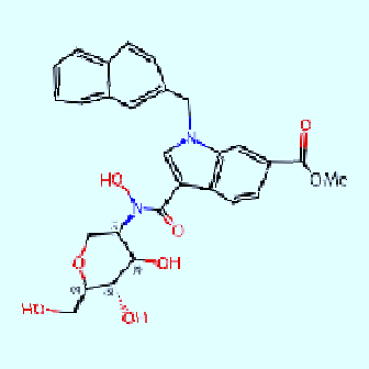 COC(=O)c1ccc2c(C(=O)N(O)[C@@H]3CO[C@H](CO)[C@@H](O)[C@@H]3O)cn(Cc3ccc4ccccc4c3)c2c1